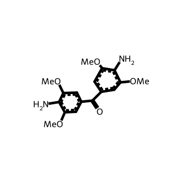 COc1cc(C(=O)c2cc(OC)c(N)c(OC)c2)cc(OC)c1N